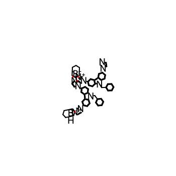 c1ccc(Cn2c3ccc(-n4cc[n+](C[B-]5([n+]6ccn(-c7ccc8c(c7)c7cc(-n9ccnc9)ccc7n8Cc7ccccc7)c6)C6CCCC5CCC6)c4)cc3c3cc(-n4cc[n+]([BH-]5C6CCCC5CCC6)c4)ccc32)cc1